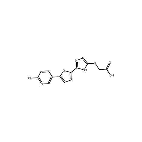 O=C(O)CSc1nnc(-c2ccc(-c3ccc(Cl)nc3)o2)[nH]1